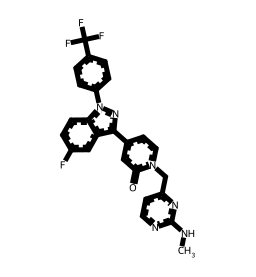 CNc1nccc(Cn2ccc(-c3nn(-c4ccc(C(F)(F)F)cc4)c4ccc(F)cc34)cc2=O)n1